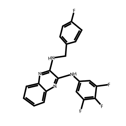 Fc1ccc(CNc2nc3ccccc3nc2Nc2cc(F)c(F)c(F)c2)cc1